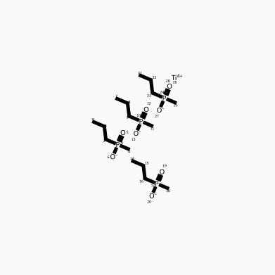 CCCP(C)(=O)[O-].CCCP(C)(=O)[O-].CCCP(C)(=O)[O-].CCCP(C)(=O)[O-].[Ti+4]